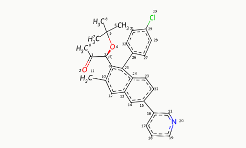 CC(=O)[C@@H](OC(C)(C)C)c1c(C)cc2cc(-c3cccnc3)ccc2c1-c1ccc(Cl)cc1